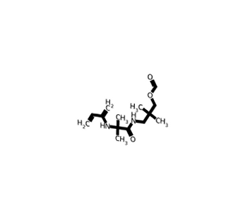 C=CC(=C)NC(C)(C)C(=O)NCC(C)(C)COC=O